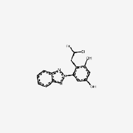 CCC(Cl)Cc1c(O)cc(O)cc1-n1nc2ccccc2n1